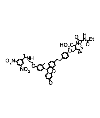 C=C(NCCOc1ccc(-c2c3ccc(=O)cc-3oc3cc(CCc4ccc(OCC5=C(C(=O)O)N6C(=O)C(NC(=O)CC)C6SC56CC6)cc4)ccc23)c(C)c1)c1cc([N+](=O)[O-])cc([N+](=O)[O-])c1